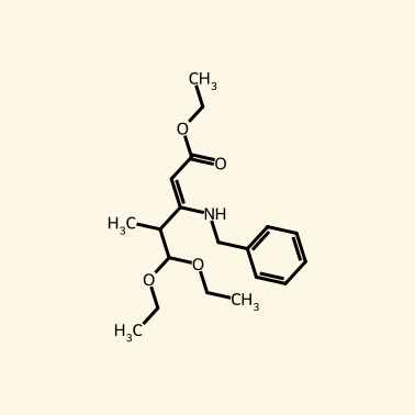 CCOC(=O)/C=C(\NCc1ccccc1)C(C)C(OCC)OCC